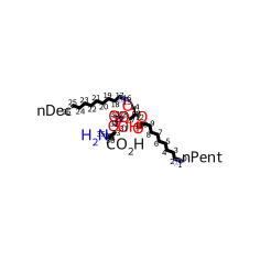 CCCCC/C=C\CCCCCCCC(=O)O[C@H](CO/C=C\CCCCCCCCCCCCCCCCCC)COP(=O)(O)OC[C@H](N)C(=O)O